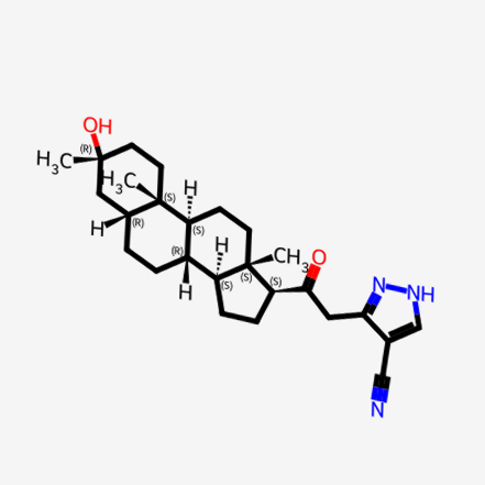 C[C@@]1(O)CC[C@@]2(C)[C@H](CC[C@@H]3[C@@H]2CC[C@]2(C)[C@@H](C(=O)Cc4n[nH]cc4C#N)CC[C@@H]32)C1